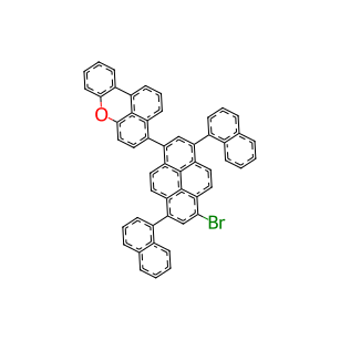 Brc1cc(-c2cccc3ccccc23)c2ccc3c(-c4ccc5c6c(cccc46)-c4ccccc4O5)cc(-c4cccc5ccccc45)c4ccc1c2c43